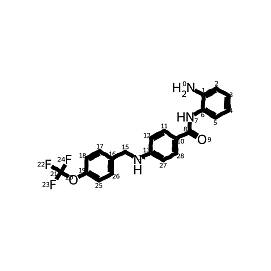 Nc1ccccc1NC(=O)c1ccc(NCc2ccc(OC(F)(F)F)cc2)cc1